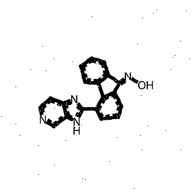 ON=C1c2ccccc2-c2c1cccc2-c1nc2ccncc2[nH]1